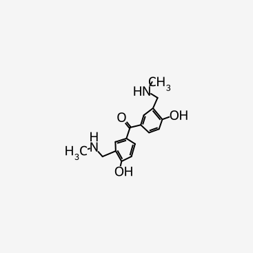 CNCc1cc(C(=O)c2ccc(O)c(CNC)c2)ccc1O